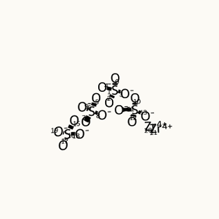 O=S(=O)([O-])[O-].O=S(=O)([O-])[O-].O=S(=O)([O-])[O-].O=S(=O)([O-])[O-].[Zr+4].[Zr+4]